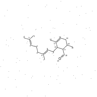 CC(C)=CCC/C(C)=C/CC1C(C)=CCC(C)C1C=O